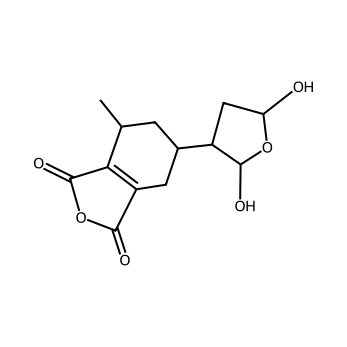 CC1CC(C2CC(O)OC2O)CC2=C1C(=O)OC2=O